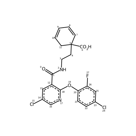 O=C(NCCC1(C(=O)O)C=CC=CC1)c1cc(Cl)cnc1Oc1ccc(Cl)cc1F